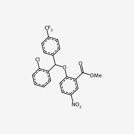 COC(=O)c1cc([N+](=O)[O-])ccc1OC(c1ccc(C(F)(F)F)cc1)c1ccccc1Cl